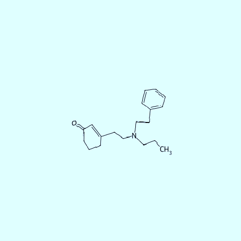 CCCN(CCC1=CC(=O)CCC1)CCc1ccccc1